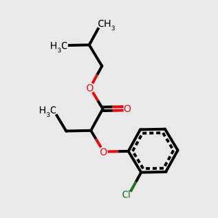 CCC(Oc1ccccc1Cl)C(=O)OCC(C)C